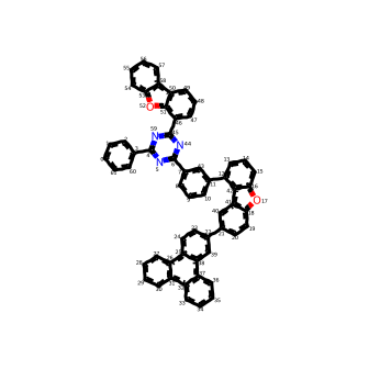 c1ccc(-c2nc(-c3cccc(-c4cccc5oc6ccc(-c7ccc8c9ccccc9c9ccccc9c8c7)cc6c45)c3)nc(-c3cccc4c3oc3ccccc34)n2)cc1